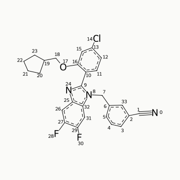 N#Cc1cccc(Cn2c(-c3ccc(Cl)cc3OCC3CCCC3)nc3cc(F)c(F)cc32)c1